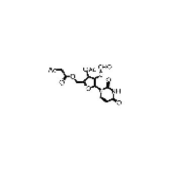 CC(=O)CC(=O)OCC1OC(n2ccc(=O)[nH]c2=O)C(OC=O)C1OC(C)=O